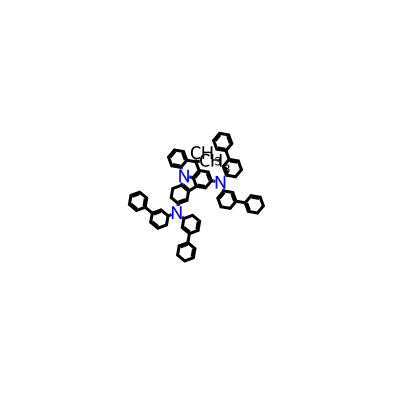 CC1(C)c2ccccc2-n2c3c(c4cc(N(C5=CCCC(C6=CCCC=C6)=C5)C5=CC(c6ccccc6)=CCC5)cc1c42)C=C(N(C1C=C(C2=CCCC=C2)C=CC1)C1C=C(c2ccccc2)C=CC1)CC3